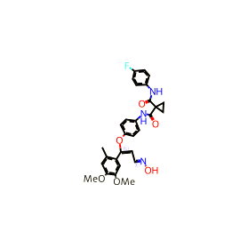 COc1cc(C)c(/C(=C\C=N\O)Oc2ccc(NC(=O)C3(C(=O)Nc4ccc(F)cc4)CC3)cc2)cc1OC